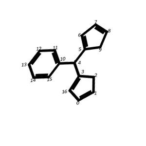 C1=CCC([C](C2=CC=CC2)c2ccccc2)=C1